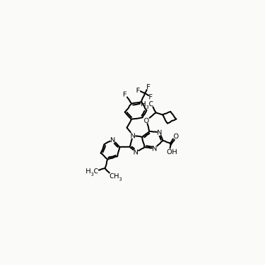 CC(C)c1ccnc(-c2nc3nc(C(=O)O)nc(OC(C)C4CCC4)c3n2Cc2ccc(C(F)(F)F)c(F)c2)c1